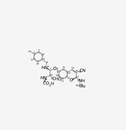 Cc1ccc(CN[C@@H](Oc2cccc(C=C(C#N)C(=O)NC(C)(C)C)c2)C(C=O)NC(=O)O)cc1